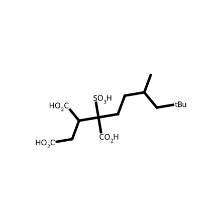 CC(CCC(C(=O)O)(C(CC(=O)O)C(=O)O)S(=O)(=O)O)CC(C)(C)C